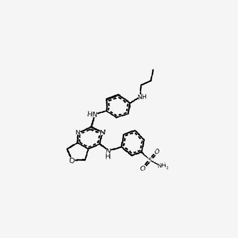 CCCNc1ccc(Nc2nc3c(c(Nc4cccc(S(N)(=O)=O)c4)n2)COC3)cc1